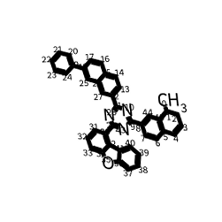 CC1CC=Cc2ccc(-c3nc(-c4ccc5ccc(-c6ccccc6)cc5c4)nc(-c4cccc5oc6ccccc6c45)n3)cc21